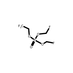 O=P(OCF)(OCF)OCC(F)(F)F